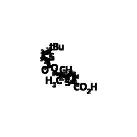 CC(C)(C)c1ccc(C(=O)OCC(C)(C)c2ccc(C(=O)O)s2)s1